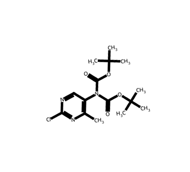 Cc1nc(Cl)ncc1N(C(=O)OC(C)(C)C)C(=O)OC(C)(C)C